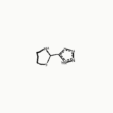 C1CSC(c2nnn[nH]2)N1